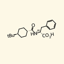 CC(C)(C)[C@H]1CC[C@H](C(=O)N[C@H](Cc2ccccc2)C(=O)O)CC1